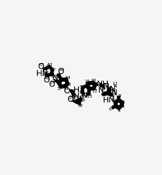 Cc1cccc(C)c1Nc1nn(C)c2nc(Nc3ccc4c(c3)CN(CC3(NC(=O)COc5ccc6c(c5)C(=O)N(C5CCC(=O)NC5=O)C6=O)CC3)CC4)ncc12